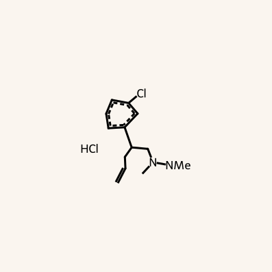 C=CCC(CN(C)NC)c1cccc(Cl)c1.Cl